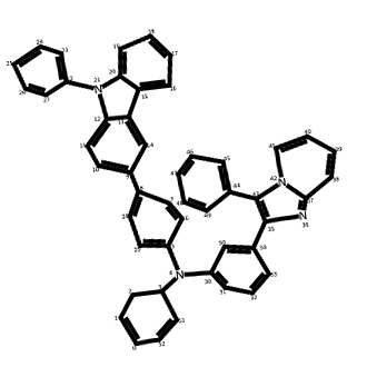 C1=CCC(N(c2ccc(-c3ccc4c(c3)c3ccccc3n4-c3ccccc3)cc2)c2cccc(-c3nc4ccccn4c3-c3ccccc3)c2)C=C1